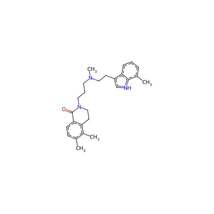 Cc1ccc2c(c1C)CCN(CCCN(C)CCc1c[nH]c3c(C)cccc13)C2=O